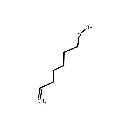 C=CCCCCCOO